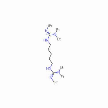 CCN(CC)/C(=N\C(C)C)NCCCCCN/C(=N/C(C)C)N(CC)CC